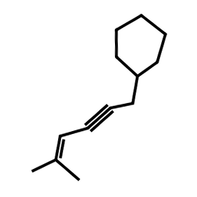 CC(C)=CC#CCC1CCCCC1